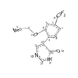 COCOc1cc(C(F)(F)F)ccc1-c1cnc[nH]c1=O